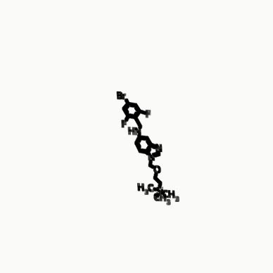 C[Si](C)(C)CCOCn1cnc2cc(NCc3c(F)cc(Br)cc3F)ccc21